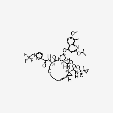 COc1ccc2c(O[C@@H]3C[C@H]4C(=O)N[C@]5(C(=O)NS(=O)(=O)C6(C)CC6)C[C@H]5C=CCCCCC[C@H](NC(=O)c5ccn(CC(F)(F)F)n5)C(=O)N4C3)cc(OC(C)C)nc2c1C